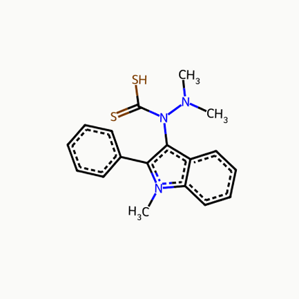 CN(C)N(C(=S)S)c1c(-c2ccccc2)n(C)c2ccccc12